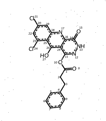 O=C(CCc1ccccc1)Oc1n[nH]c(=O)c2nc3cc(Cl)cc(Cl)c3c(O)c12